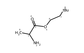 CC(N)C(=O)OCCC(C)(C)C